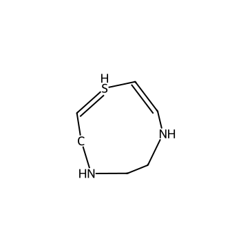 C1=C[SH]=CCNCCN1